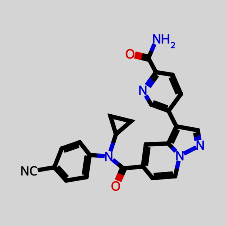 N#Cc1ccc(N(C(=O)c2ccn3ncc(-c4ccc(C(N)=O)nc4)c3c2)C2CC2)cc1